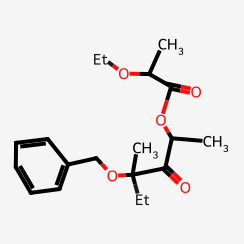 CCOC(C)C(=O)OC(C)C(=O)C(C)(CC)OCc1ccccc1